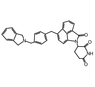 O=C1CCC(N2C(=O)c3cccc4c(Cc5ccc(CN6Cc7ccccc7C6)cc5)ccc2c34)C(=O)N1